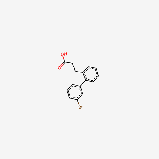 O=C(O)CCc1ccccc1-c1cccc(Br)c1